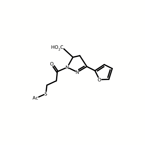 CC(=O)SCCC(=O)N1N=C(c2ccco2)CC1C(=O)O